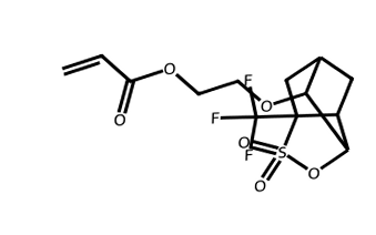 C=CC(=O)OCCOC1C2CC3C1OS(=O)(=O)C3(C(F)(F)F)C2